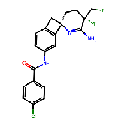 NC1=N[C@]2(CC[C@@]1(F)CF)Cc1ccc(NC(=O)c3ccc(Cl)cc3)cc12